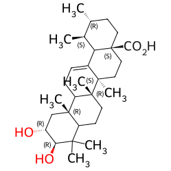 C[C@@H]1CC[C@]2(C(=O)O)CC[C@]3(C)C(=CCC4[C@@]5(C)C[C@@H](O)[C@H](O)C(C)(C)C5CC[C@]43C)C2[C@H]1C